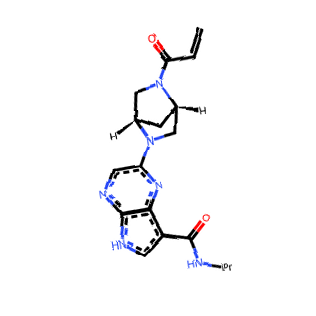 C=CC(=O)N1C[C@@H]2C[C@H]1CN2c1cnc2[nH]cc(C(=O)NC(C)C)c2n1